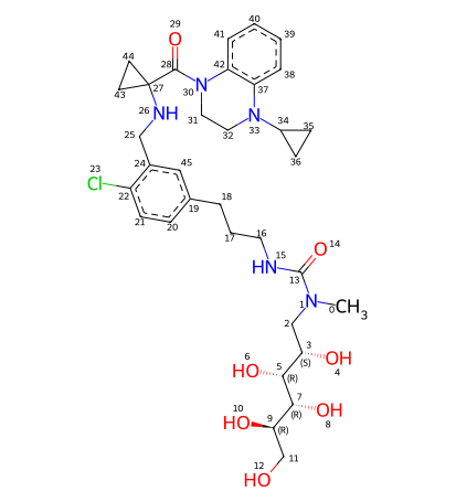 CN(C[C@H](O)[C@@H](O)[C@H](O)[C@H](O)CO)C(=O)NCCCc1ccc(Cl)c(CNC2(C(=O)N3CCN(C4CC4)c4ccccc43)CC2)c1